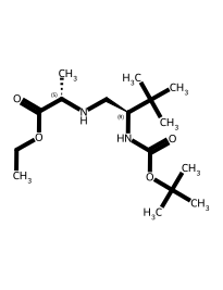 CCOC(=O)[C@H](C)NC[C@H](NC(=O)OC(C)(C)C)C(C)(C)C